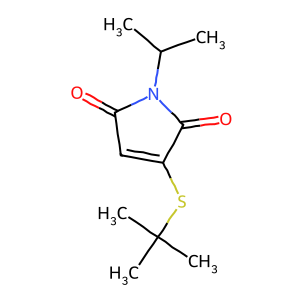 CC(C)N1C(=O)C=C(SC(C)(C)C)C1=O